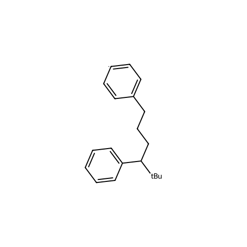 CC(C)(C)C(CCCc1cc[c]cc1)c1ccccc1